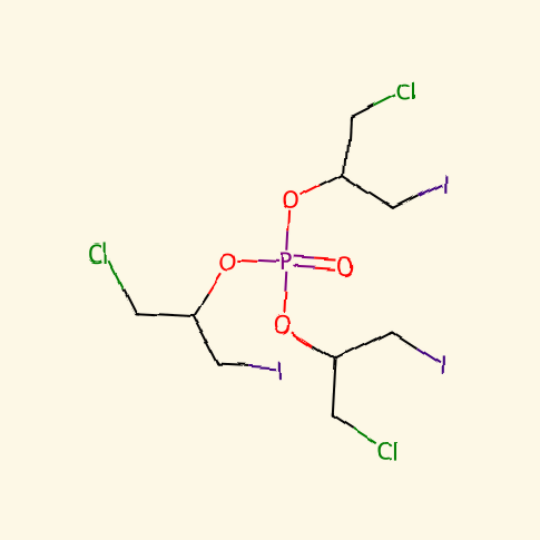 O=P(OC(CCl)CI)(OC(CCl)CI)OC(CCl)CI